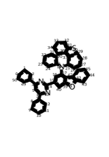 c1ccc(-c2cc(-c3ccccc3)nc(-c3cc(N(c4ccccc4)c4cccc5sc6ccccc6c45)c4c(c3)oc3ccccc34)n2)cc1